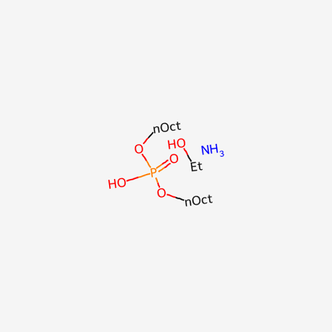 CCCCCCCCOP(=O)(O)OCCCCCCCC.CCO.N